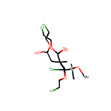 CCCCO[Si](C)(C)C(Cl)(OCCCl)C(C)(CC(O)OCCCl)C(O)OCCCl